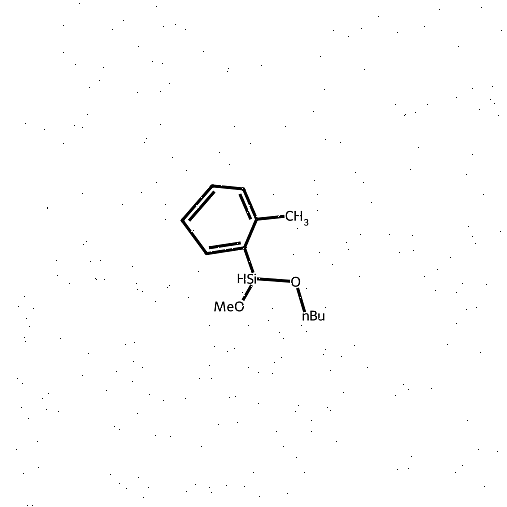 CCCCO[SiH](OC)c1ccccc1C